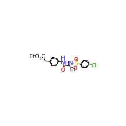 CCOC(=O)Cc1ccc(NC(=O)C(CC)NS(=O)(=O)c2ccc(Cl)cc2)cc1